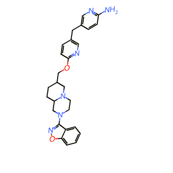 Nc1ccc(Cc2ccc(OCC3CCC4CN(c5noc6ccccc56)CCN4C3)nc2)cn1